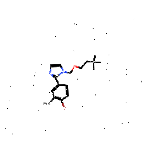 COc1cc(-c2nccn2COCC[Si](C)(C)C)ccc1Br